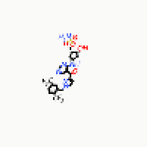 NS(=O)(=O)OC[C@H]1C[C@@H](Nc2ncncc2C(=O)c2ccn(Cc3cc(C(F)(F)F)ccc3C(F)(F)F)n2)C[C@@H]1O